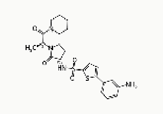 C[C@@H](C(=O)N1CCCCC1)N1CC[C@H](NS(=O)(=O)c2ccc(-c3cccc(N)c3)s2)C1=O